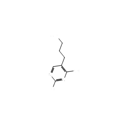 Cc1nc(C(F)(F)F)ncc1CCCC(=O)O